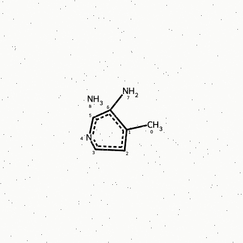 Cc1ccncc1N.N